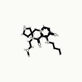 CCCCOc1c2n(ccc1=O)CC1(CCOC1)N(CCOC)C2=O